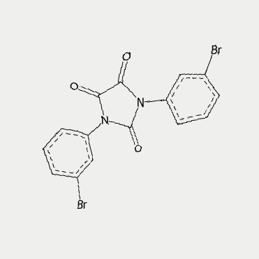 O=C1C(=O)N(c2cccc(Br)c2)C(=O)N1c1cccc(Br)c1